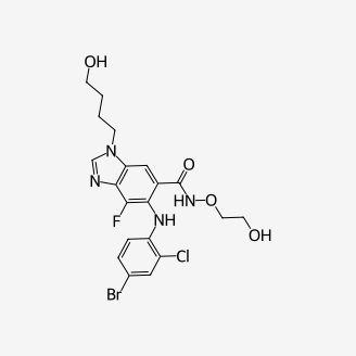 O=C(NOCCO)c1cc2c(ncn2CCCCO)c(F)c1Nc1ccc(Br)cc1Cl